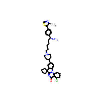 Cc1ncsc1-c1ccc([C@@H](N)CCCCCN2CCC(c3ccc4c(c3)C3(CCCC3)c3nc(=O)c5c(Cl)cccc5n3-4)CC2)cc1